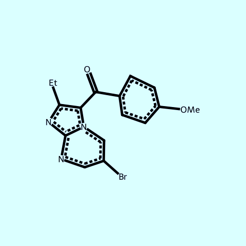 CCc1nc2ncc(Br)cn2c1C(=O)c1ccc(OC)cc1